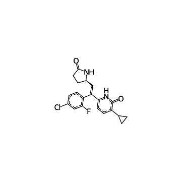 O=C1CC[C@H](/C=C(/c2ccc(C3CC3)c(=O)[nH]2)c2ccc(Cl)cc2F)N1